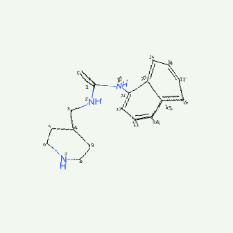 C=C(NCC1CCNCC1)Nc1cccc2ccccc12